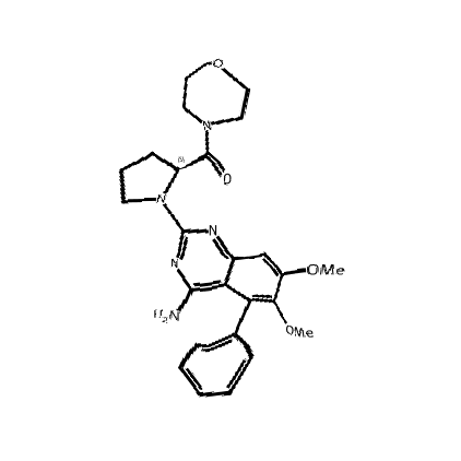 COc1cc2nc(N3CCC[C@H]3C(=O)N3CCOCC3)nc(N)c2c(-c2ccccc2)c1OC